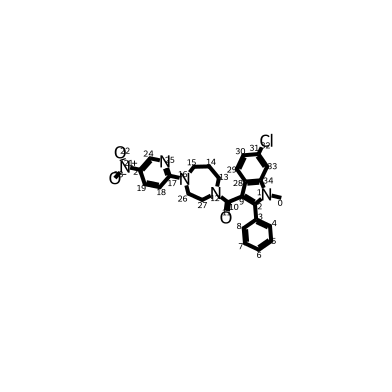 Cn1c(-c2ccccc2)c(C(=O)N2CCCN(c3ccc([N+](=O)[O-])cn3)CC2)c2ccc(Cl)cc21